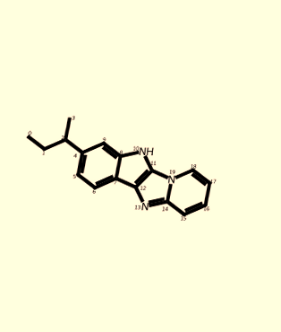 CCC(C)c1ccc2c(c1)[nH]c1c2nc2ccccn21